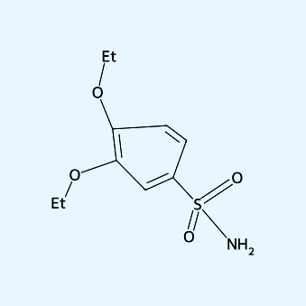 CCOc1ccc(S(N)(=O)=O)cc1OCC